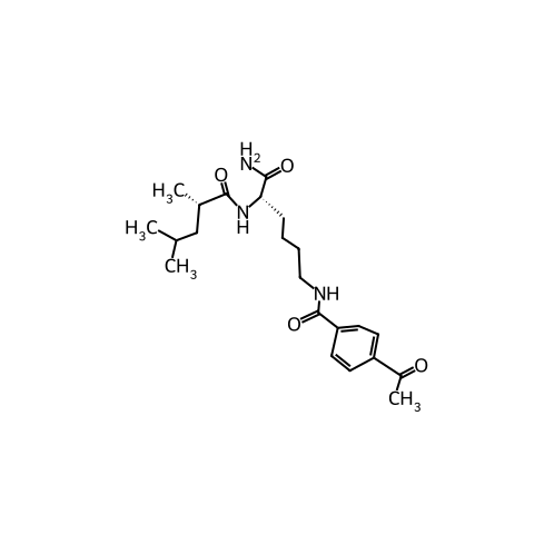 CC(=O)c1ccc(C(=O)NCCCC[C@H](NC(=O)[C@@H](C)CC(C)C)C(N)=O)cc1